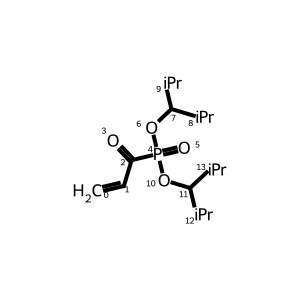 C=CC(=O)P(=O)(OC(C(C)C)C(C)C)OC(C(C)C)C(C)C